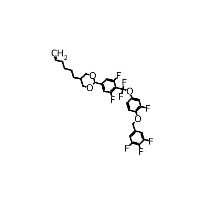 C=CCCCCC1COC(c2cc(F)c(C(F)(F)Oc3ccc(OCc4cc(F)c(F)c(F)c4)c(F)c3)c(F)c2)OC1